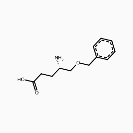 N[C@@H](CCC(=O)O)COCc1ccccc1